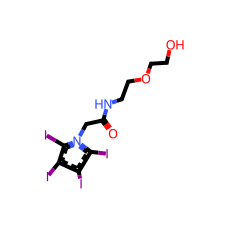 O=C(Cn1c(I)c(I)c(I)c1I)NCCOCCO